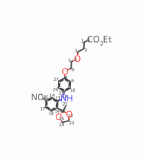 CCOC(=O)CCCOCCOc1ccc(Nc2cc(C#N)ccc2C2(C)OCCO2)cc1